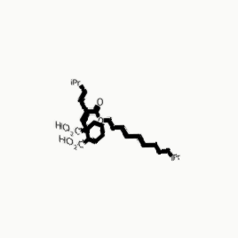 CC(C)CCCCCCCCCOC(=O)C(=CC1(C(=O)O)CCCCC1C(=O)O)CCC(C)C